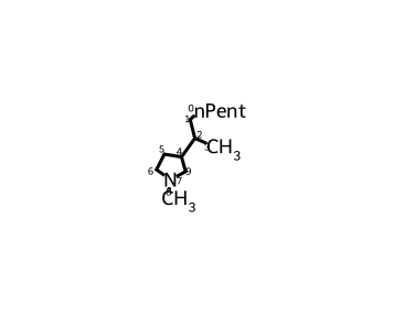 CCCCCCC(C)C1CCN(C)C1